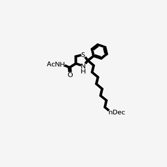 CCCCCCCCCCCCCCCCCCC1(c2ccccc2)NC(C(=O)NC(C)=O)CS1